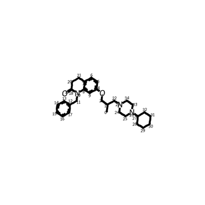 CC(COc1ccc2c(c1)N(Cc1ccccc1)C(=O)CC2)CN1CCN(C2CCCCC2)CC1